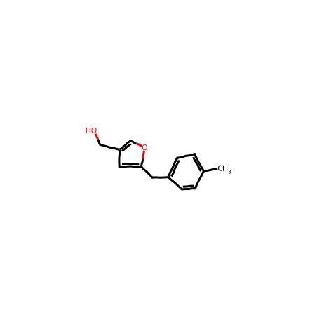 Cc1ccc(Cc2cc(CO)co2)cc1